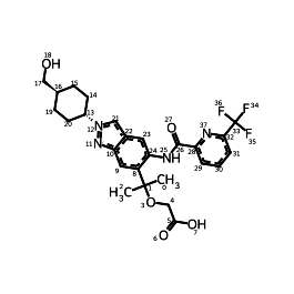 CC(C)(OCC(=O)O)c1cc2nn([C@H]3CC[C@H](CO)CC3)cc2cc1NC(=O)c1cccc(C(F)(F)F)n1